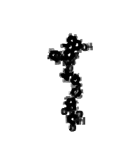 CCc1cccc2cc(O)cc(-c3c(F)cc4c(N5CC6CCC(C5)N6)nc(OCC5(CN6CCC(CN7CCN(c8ccc9c(c8)CN([C@H]8CCC(=O)NC8=O)C9=O)CC7)CC6)CC5)nc4c3F)c12